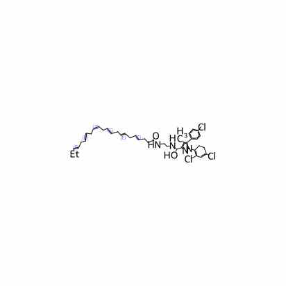 CC/C=C/C/C=C/C/C=C\C/C=C/C/C=C/C/C=C/CCC(=O)NCCNC(O)c1nn(C2=C(Cl)C=C(Cl)CC2)c(-c2ccc(Cl)cc2)c1C